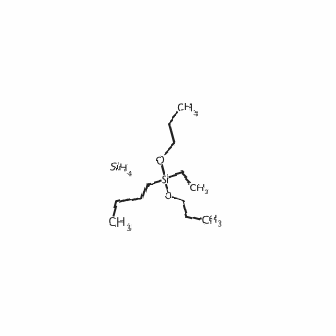 CCCC[Si](CC)(OCCC)OCCC.[SiH4]